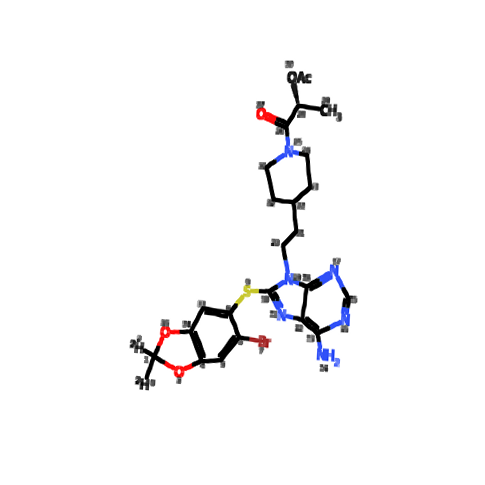 [2H]C1([2H])Oc2cc(Br)c(Sc3nc4c(N)ncnc4n3CCC3CCN(C(=O)[C@H](C)OC(C)=O)CC3)cc2O1